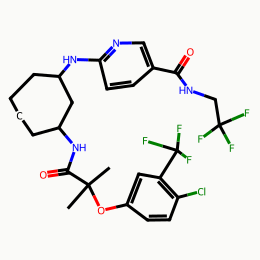 CC(C)(Oc1ccc(Cl)c(C(F)(F)F)c1)C(=O)NC1CCCCC(Nc2ccc(C(=O)NCC(F)(F)F)cn2)C1